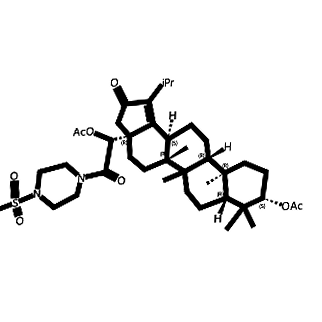 CC(=O)OC(C(=O)N1CCN(S(C)(=O)=O)CC1)[C@@]12CC[C@]3(C)[C@H](CC[C@H]4C3(C)CC[C@H]3C(C)(C)[C@@H](OC(C)=O)CC[C@@]34C)C1=C(C(C)C)C(=O)C2